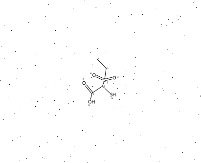 CCS(=O)(=O)C(S)C(=O)O